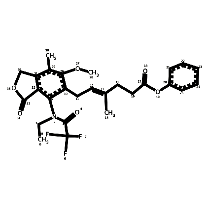 CCN(C(=O)C(F)(F)F)c1c(C/C=C(\C)CCC(=O)Oc2ccccc2)c(OC)c(C)c2c1C(=O)OC2